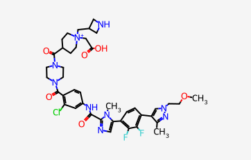 COCCn1cc(-c2ccc(-c3cnc(C(=O)Nc4ccc(C(=O)N5CCN(C(=O)C6CC[N+](CC(=O)O)(CC7CNC7)CC6)CC5)c(Cl)c4)n3C)c(F)c2F)c(C)n1